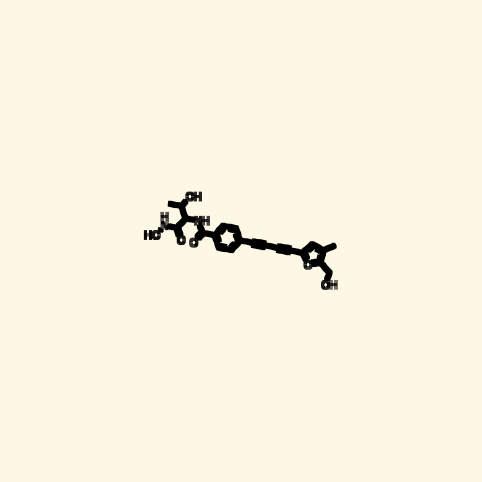 Cc1cc(C#CC#Cc2ccc(C(=O)NC(C(=O)NO)C(C)O)cc2)oc1CO